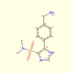 CN(C)S(=O)(=O)c1nc[nH]c1-c1ccc(CN)cc1